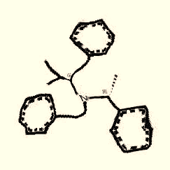 CC(C)[C@@H](c1ccccc1)N(Cc1ccccc1)[C@H](C)c1ccccc1